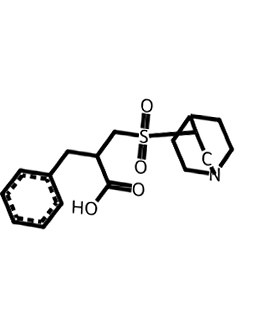 O=C(O)C(Cc1ccccc1)CS(=O)(=O)C1CN2CCC1CC2